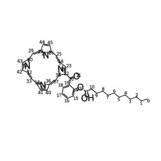 CCCCCCCCCCCC(O)Oc1ccccc1C(=O)C1=CC2=CC3=NC(=CC4=NC(=CC5=NC(=CC1=N2)C=C5)C=C4)C=C3